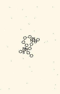 c1ccc(-c2ccc(-c3nc(-c4cccc(-c5cccc(-c6cccc(-c7cccc(-c8nc(-c9ccc(-c%10ccccc%10)cc9)c9sc%10ccccc%10c9n8)c7)c6)c5)c4)nc4c3oc3ccccc34)cc2)cc1